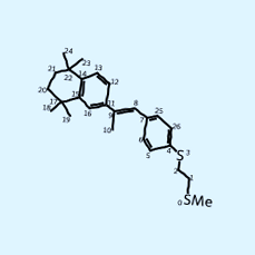 CSCCSc1ccc(C=C(C)c2ccc3c(c2)C(C)(C)CCC3(C)C)cc1